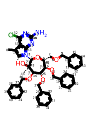 Cc1cn([C@@H]2O[C@H](COCc3ccccc3)[C@@H](OCc3ccccc3)[C@H](OCc3ccccc3)[C@@H](OCc3ccccc3)[C@@]2(C)O)c2nc(N)nc(Cl)c12